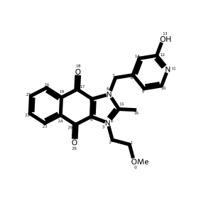 COCC[n+]1c2c(n(Cc3ccnc(O)c3)c1C)C(=O)c1ccccc1C2=O